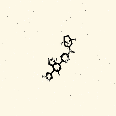 CN(c1ccc(-c2cc(F)c(-c3cn[nH]c3)c3cn[nH]c23)nn1)C1C[C@H]2CC[C@@H](C1)N2